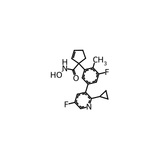 Cc1c(F)cc(-c2cc(F)cnc2C2CC2)cc1C1(C(=O)NO)C=CCC1